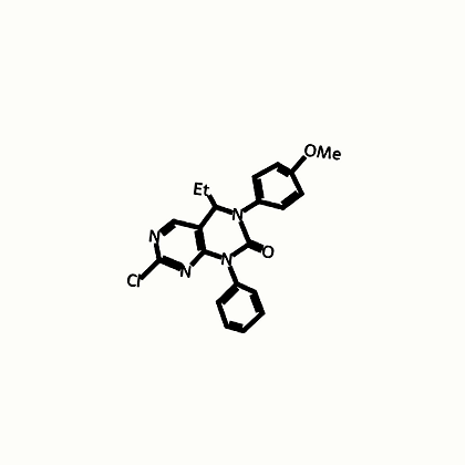 CCC1c2cnc(Cl)nc2N(c2ccccc2)C(=O)N1c1ccc(OC)cc1